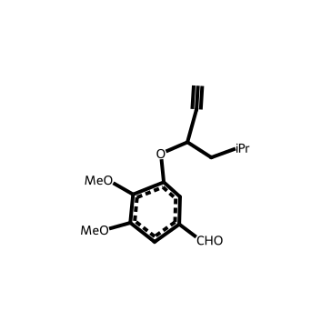 C#CC(CC(C)C)Oc1cc(C=O)cc(OC)c1OC